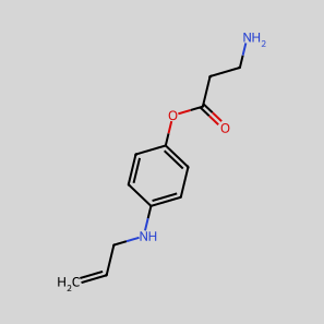 C=CCNc1ccc(OC(=O)CCN)cc1